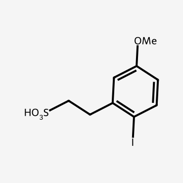 COc1ccc(I)c(CCS(=O)(=O)O)c1